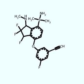 C#Cc1cc(F)cc(Oc2ccc(S(C)(C)N)c3c2C(F)C(F)(F)C3NC)c1